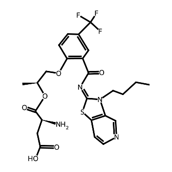 CCCCn1c(=NC(=O)c2cc(C(F)(F)F)ccc2OC[C@H](C)OC(=O)[C@@H](N)CC(=O)O)sc2ccncc21